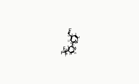 FSc1ccnc(-c2cc(C(F)(F)F)ccn2)c1